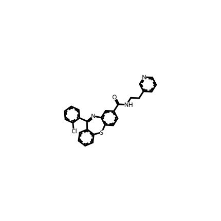 O=C(NCCc1cccnc1)c1ccc2c(c1)N=C(c1ccccc1Cl)c1ccccc1S2